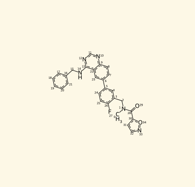 CN(Cc1cc(-c2ccc3ncnc(NCc4ccccc4)c3c2)ccc1F)C(=O)c1ccno1